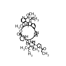 C=CC(=O)N1CC[C@H](C(=O)N(C)C(C(=O)N[C@H]2Cc3nc(ns3)-c3ccc4c(c3)c(c(-c3cccnc3[C@H](C)OC)n4CC)CC(C)(C)COC(=O)[C@@H]3CCCN(N3)C2=O)C(C)C)C1